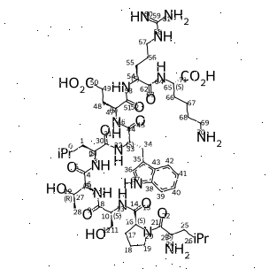 CC(C)C[C@H](NC(=O)[C@@H](NC(=O)[C@H](CO)NC(=O)[C@@H]1CCCN1C(=O)[C@@H](N)CC(C)C)[C@@H](C)O)C(=O)N[C@@H](Cc1c[nH]c2ccccc12)C(=O)N[C@@H](CCC(=O)O)C(=O)N[C@@H](CCCNC(=N)N)C(=O)N[C@@H](CCCCN)C(=O)O